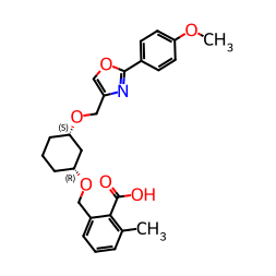 COc1ccc(-c2nc(CO[C@H]3CCC[C@@H](OCc4cccc(C)c4C(=O)O)C3)co2)cc1